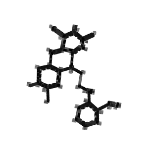 C=c1nc2c(c(=O)[nH]1)=Nc1cc(C)c(C)cc1N2CCNc1ccccc1C(=O)O